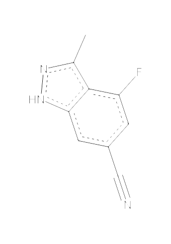 Cc1n[nH]c2cc(C#N)cc(F)c12